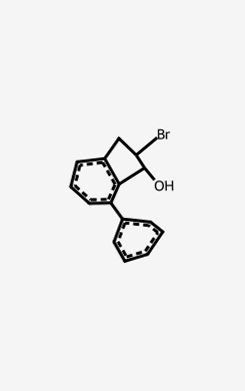 OC1c2c(cccc2-c2ccccc2)CC1Br